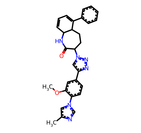 COc1cc(-c2cn(C3CCC4C(c5ccccc5)=CC=CC4NC3=O)nn2)ccc1-n1cnc(C)c1